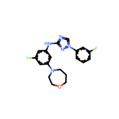 Fc1cc(Nc2ncn(-c3cccc(F)c3)n2)cc(N2CCCOCC2)c1